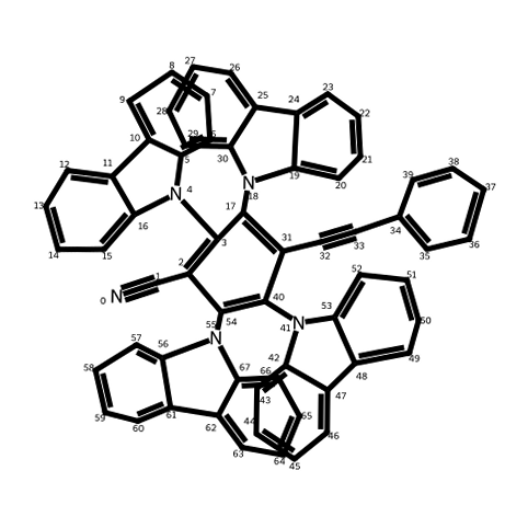 N#Cc1c(-n2c3ccccc3c3ccccc32)c(-n2c3ccccc3c3ccccc32)c(C#Cc2ccccc2)c(-n2c3ccccc3c3ccccc32)c1-n1c2ccccc2c2ccccc21